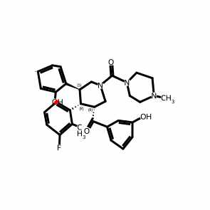 Cc1c(F)cccc1[C@H]1[C@@H](C(=O)c2cccc(O)c2)CN(C(=O)N2CCN(C)CC2)C[C@@H]1c1cc[c]cc1O